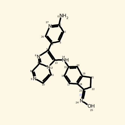 Nc1ccc(-c2nc3cnccn3c2Nc2ccc3c(c2)CC/C3=N\O)cn1